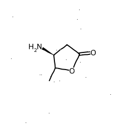 CC1OC(=O)C[C@@H]1N